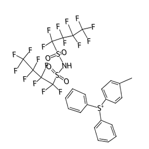 Cc1ccc([S+](c2ccccc2)c2ccccc2)cc1.O=S(=O)(NS(=O)(=O)C(F)(F)C(F)(F)C(F)(F)C(F)(F)F)C(F)(F)C(F)(F)C(F)(F)C(F)(F)F